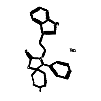 Cl.O=C1OC2(CCNCC2)C(c2ccccc2)N1CCc1c[nH]c2ccccc12